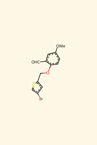 COc1ccc(OCc2cc(Br)cs2)c(C=O)c1